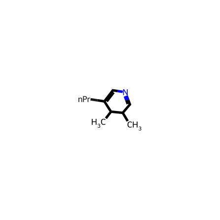 CCCC1=CN=CC(C)C1C